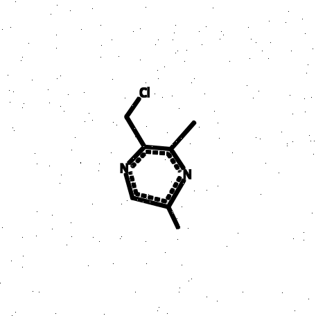 Cc1cnc(CCl)c(C)n1